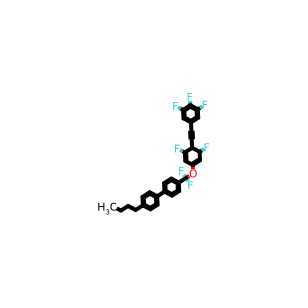 CCCCc1ccc(-c2ccc(C(F)(F)OC3=CC(F)C(C#Cc4cc(F)c(F)c(F)c4)C(F)=C3)cc2)cc1